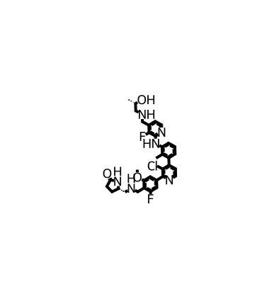 COc1cc(-c2nccc(-c3cccc(Nc4nccc(CNC[C@H](C)O)c4F)c3C)c2Cl)cc(F)c1CNC[C@@H]1CCC(=O)N1